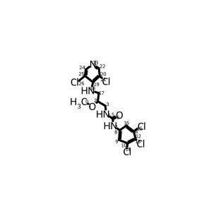 COC(CNC(=O)Nc1cc(Cl)c(Cl)c(Cl)c1)CNc1c(Cl)cncc1Cl